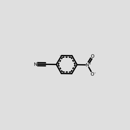 N#Cc1[c]cc([N+](=O)[O-])cc1